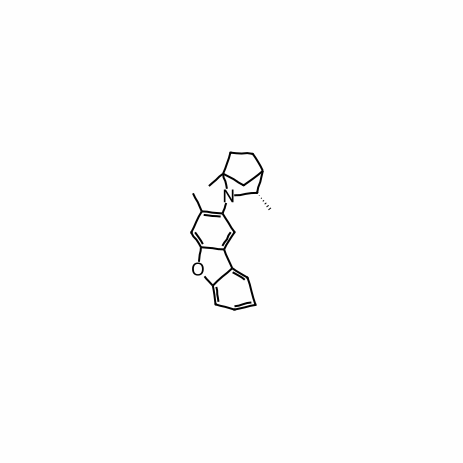 Cc1cc2oc3ccccc3c2cc1N1[C@@H](C)C2CCC1(C)C2